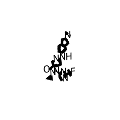 CN(C)C1Cc2ccc(Nc3cc4c(cn3)c(=O)n(C3CC3)n4-c3ccnc(C(C)(C)F)n3)cc2C1